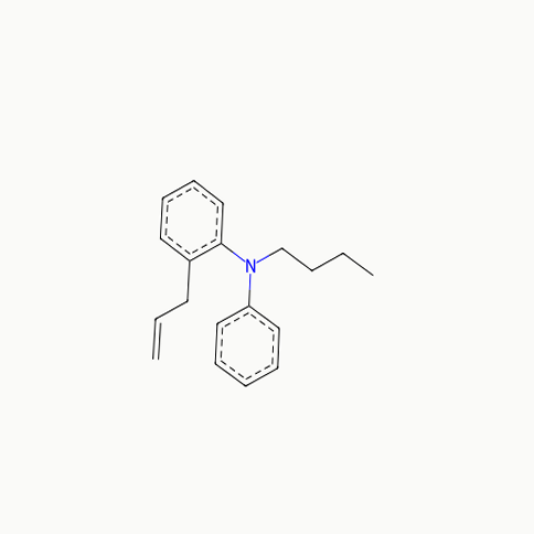 C=CCc1ccccc1N(CCCC)c1ccccc1